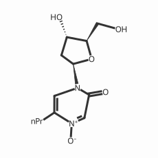 CCCc1cn([C@H]2C[C@H](O)[C@@H](CO)O2)c(=O)c[n+]1[O-]